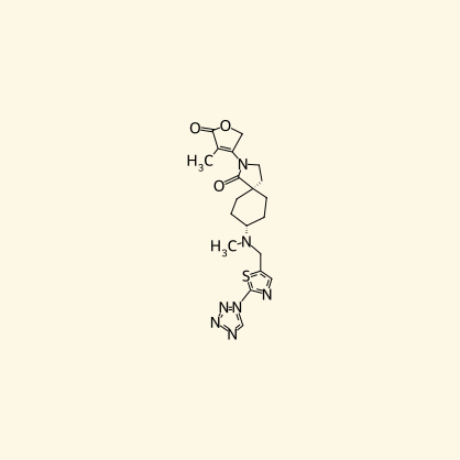 CC1=C(N2CC[C@]3(CC[C@@H](N(C)Cc4cnc(-n5cnnn5)s4)CC3)C2=O)COC1=O